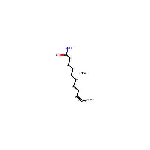 CCCCCCCC/C=C\CCCCCCCC([NH-])=O.[Na+]